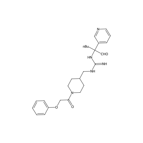 CCCCC(C=O)(NC(=N)NCC1CCN(C(=O)COc2ccccc2)CC1)c1cccnc1